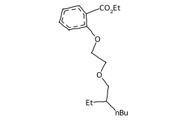 CCCCC(CC)COCCOc1ccccc1C(=O)OCC